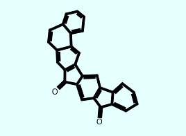 O=c1c2ccccc2c2cc3c(cc12)c(=O)c1cc2ccc4ccccc4c2cc13